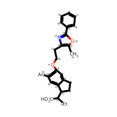 CCC(C(=O)O)C1CCc2cc(OCCc3nc(-c4ccccc4)oc3C)c(C(C)=O)cc21